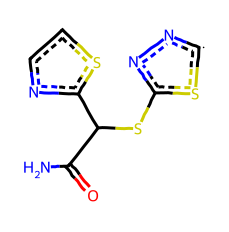 NC(=O)C(Sc1nn[c]s1)c1nccs1